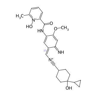 COC1=CC(=N)/C(=C\[N+]#CC2CCC(O)(C3CC3)CC2)C=C1NC(=O)c1cccc(C)[n+]1O